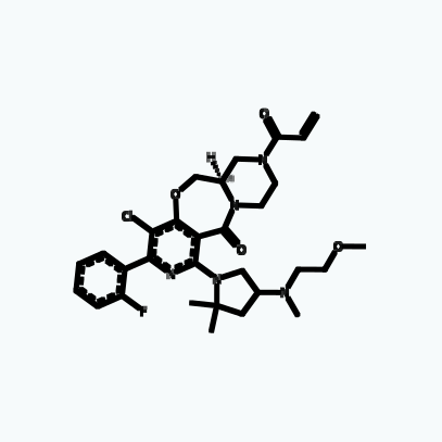 C=CC(=O)N1CCN2C(=O)c3c(N4CC(N(C)CCOC)CC4(C)C)nc(-c4ccccc4F)c(Cl)c3OC[C@H]2C1